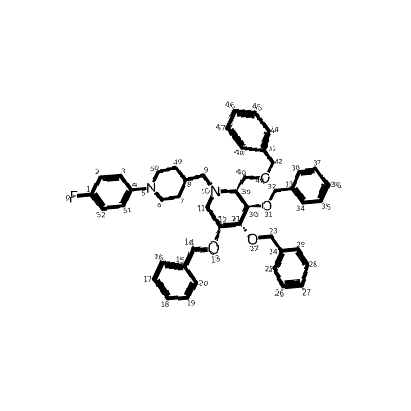 Fc1ccc(N2CCC(CN3C[C@H](OCc4ccccc4)[C@@H](OCc4ccccc4)[C@H](OCc4ccccc4)[C@@H]3COCc3ccccc3)CC2)cc1